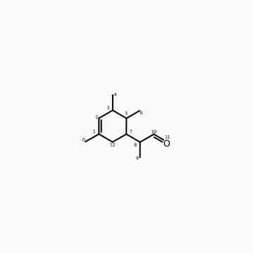 CC1=CC(C)C(C)C(C(C)C=O)C1